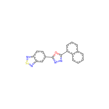 c1ccc2c(-c3nnc(-c4ccc5nsnc5c4)o3)cccc2c1